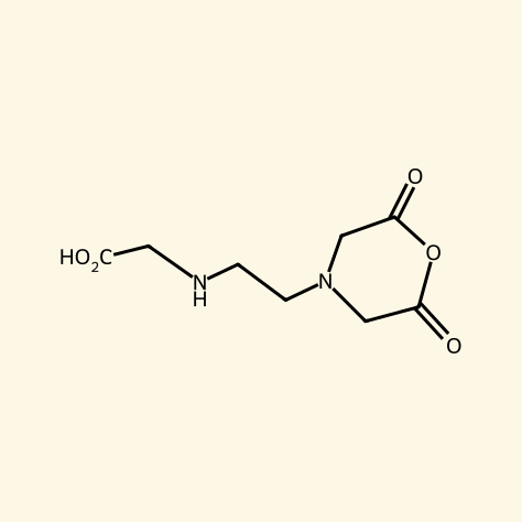 O=C(O)CNCCN1CC(=O)OC(=O)C1